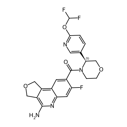 Nc1nc2cc(F)c(C(=O)N3CCOC[C@@H]3c3ccc(OC(F)F)nc3)cc2c2c1COC2